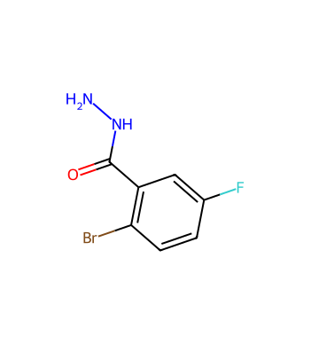 NNC(=O)c1cc(F)ccc1Br